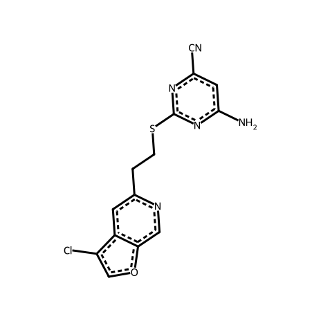 N#Cc1cc(N)nc(SCCc2cc3c(Cl)coc3cn2)n1